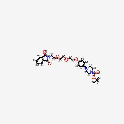 CC(C)(C)OC(=O)N1CCN(c2ccc(OCCOCCOCCN3C(=O)c4ccccc4C3=O)cc2)CC1